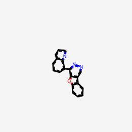 c1cnc2c(-c3nncc4c3oc3ccccc34)cccc2c1